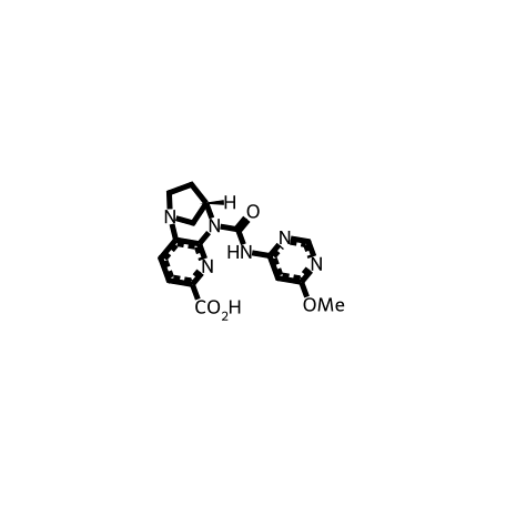 COc1cc(NC(=O)N2c3nc(C(=O)O)ccc3N3CC[C@H]2C3)ncn1